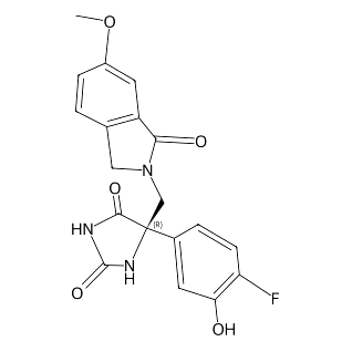 COc1ccc2c(c1)C(=O)N(C[C@@]1(c3ccc(F)c(O)c3)NC(=O)NC1=O)C2